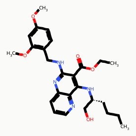 CCCC[C@H](CO)Nc1c(C(=O)OCC)c(NCc2ccc(OC)cc2OC)nc2cccnc12